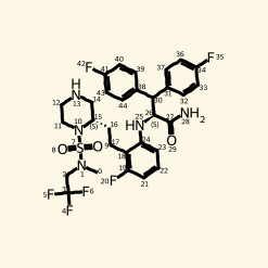 CN(CC(F)(F)F)S(=O)(=O)N1CCNC[C@@H]1CCc1c(F)cccc1N[C@H](C(N)=O)C(c1ccc(F)cc1)c1ccc(F)cc1